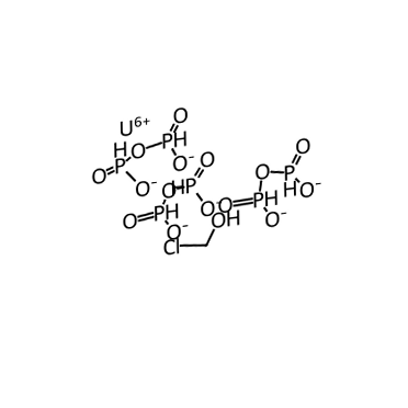 O=[PH]([O-])O[PH](=O)[O-].O=[PH]([O-])O[PH](=O)[O-].O=[PH]([O-])O[PH](=O)[O-].OCCl.[U+6]